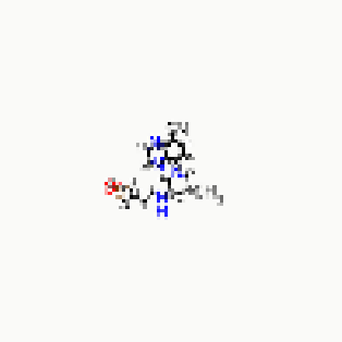 C[C@H]1C[C@@H](NCCC2C[S+]([O-])C2)CN(c2ccc(C#N)c3nccnc23)C1